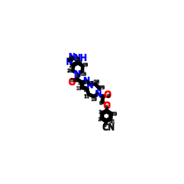 N#Cc1ccc(OCC(=O)N2CCc3cc(C(=O)N4CCc5[nH]nnc5C4)nn3CC2)cc1